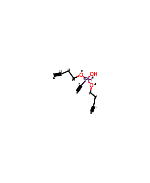 C#CCCO[PH](O)(C#C)OCCC#C